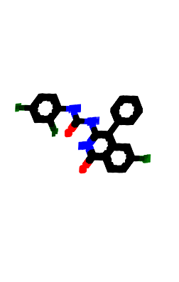 O=C(Nc1ccc(F)cc1F)Nc1[nH]c(=O)c2ccc(Cl)cc2c1-c1ccccc1